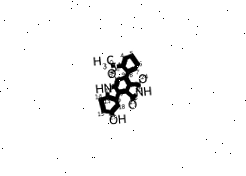 C[S+]([O-])c1ccccc1-c1cc2[nH]c3ccc(O)cc3c2c2c1C(=O)NC2=O